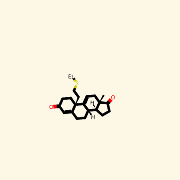 CCSCC[C@]12CCC(=O)C=C1CC[C@@H]1C2=CC[C@]2(C)C(=O)CC[C@@H]12